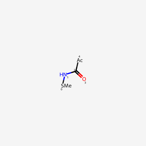 CSNC(=O)C(C)=O